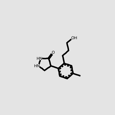 Cc1ccc(C2CNNC2=O)c(CCCO)c1